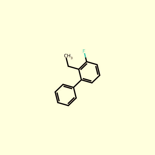 CCc1c(F)cccc1-c1ccccc1